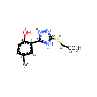 CC(=O)c1ccc(O)c(-c2nnc(SCC(=O)O)[nH]2)c1